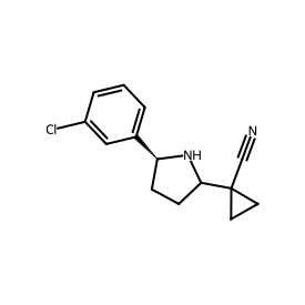 N#CC1(C2CC[C@@H](c3cccc(Cl)c3)N2)CC1